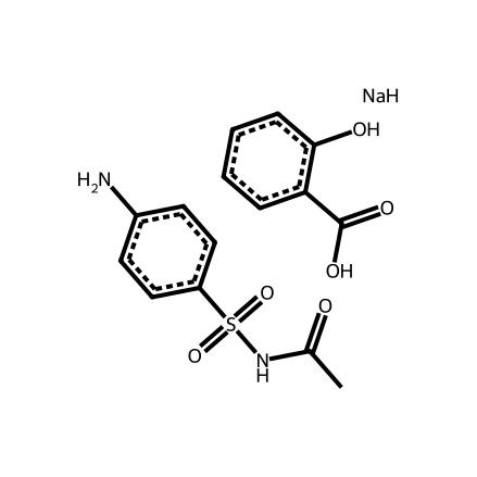 CC(=O)NS(=O)(=O)c1ccc(N)cc1.O=C(O)c1ccccc1O.[NaH]